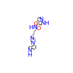 O=S(=O)(NCCCCN1CCN(c2cccc3[nH]ccc23)CC1)c1c[nH]c2ncccc12